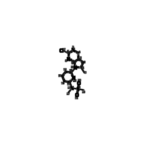 Cc1cc2cnc(Cl)nc2n1-c1cccc(N(C)S(C)(=O)=O)n1